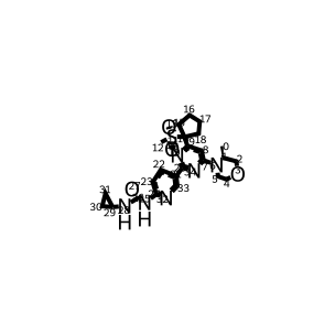 C[C@H]1COCCN1c1cc(C2(S(C)(=O)=O)CCCC2)nc(-c2ccc(NC(=O)NC3CC3)nc2)n1